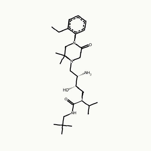 CCc1ccccc1N1CC(C)(C)N(C[C@H](N)[C@@H](O)C[C@H](C(=O)NCC(C)(C)C)C(C)C)CC1=O